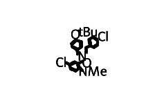 CNc1ccc(Cl)cc1C(=O)N(CCc1ccc(Cl)cc1)Cc1ccc(OC(C)(C)C)cc1